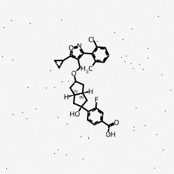 Cc1cccc(Cl)c1-c1noc(C2CC2)c1COC1C[C@@H]2CC(O)(c3ccc(C(=O)O)cc3F)C[C@@H]2C1